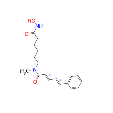 CN(CCCCCC(=O)NO)C(=O)/C=C/C=C/c1ccccc1